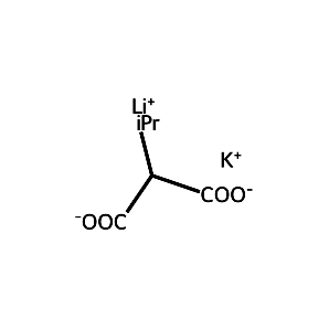 CC(C)C(C(=O)[O-])C(=O)[O-].[K+].[Li+]